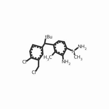 Cc1c(C(c2ccc(Cl)c(CCl)c2)C(C)(C)C)ccc(N(C)N)c1N